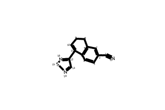 N#Cc1ccc2c(c1)CCC=C2c1cnsn1